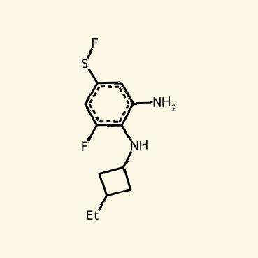 CCC1CC(Nc2c(N)cc(SF)cc2F)C1